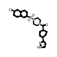 O=C(c1ccc(-c2cc[nH]n2)cc1)N1CCN(S(=O)(=O)c2ccc3cc(Cl)ccc3c2)CC1